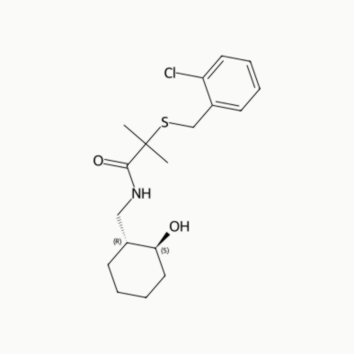 CC(C)(SCc1ccccc1Cl)C(=O)NC[C@H]1CCCC[C@@H]1O